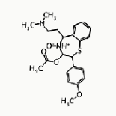 COc1ccc(C2Sc3ccccc3C(CCN(C)C)[NH+]([O-])C2OC(C)=O)cc1